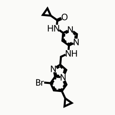 O=C(Nc1cc(NCc2cn3cc(C4CC4)cc(Br)c3n2)ncn1)C1CC1